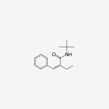 CC/C(=C/c1ccccc1)C(=O)NC(C)(C)C